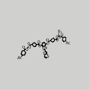 CC(=O)C1CCC(C(=O)OCOC(=O)C2CCC(C(=O)Oc3ccc(OC(=O)C4CCC(C(=O)OC(C)OC(=O)C5CCC(C(C)=O)CC5)CC4)c4nc(-c5cc6sccc6s5)sc34)CC2)CC1